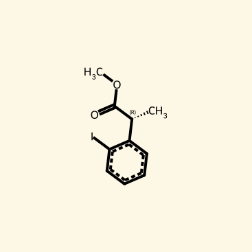 COC(=O)[C@H](C)c1ccccc1I